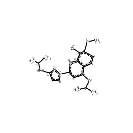 COc1ccc2c(OC(C)C)cc(-n3ccc(NC(C)C)n3)nc2c1Cl